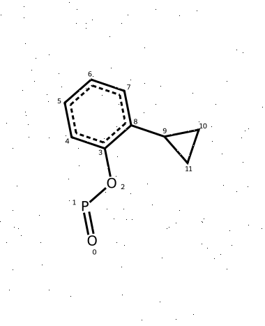 O=POc1ccccc1C1CC1